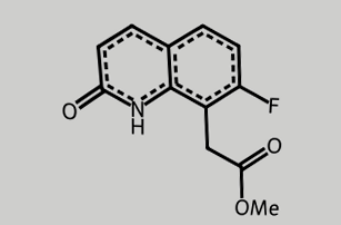 COC(=O)Cc1c(F)ccc2ccc(=O)[nH]c12